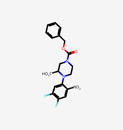 O=C(O)C1CN(C(=O)OCc2ccccc2)CCN1c1cc(F)c(F)cc1[N+](=O)[O-]